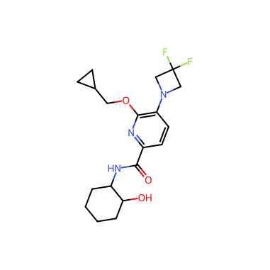 O=C(NC1CCCCC1O)c1ccc(N2CC(F)(F)C2)c(OCC2CC2)n1